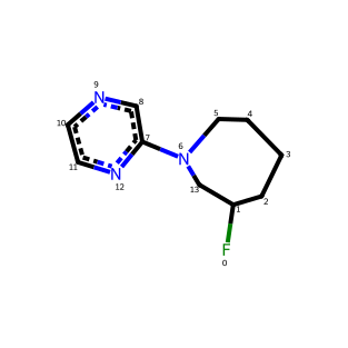 FC1CCCCN(c2cnccn2)C1